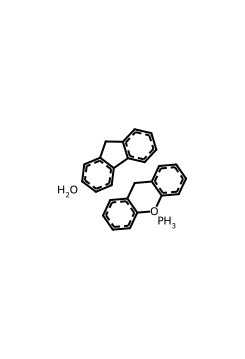 O.P.c1ccc2c(c1)Cc1ccccc1-2.c1ccc2c(c1)Cc1ccccc1O2